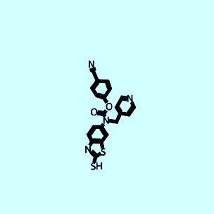 N#Cc1ccc(OC(=O)N(Cc2ccncc2)c2ccc3nc(S)sc3c2)cc1